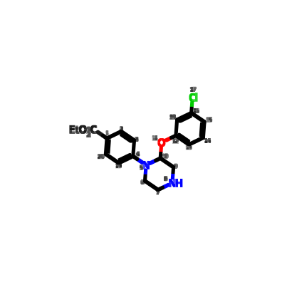 CCOC(=O)c1ccc(N2CCNCC2Oc2cccc(Cl)c2)cc1